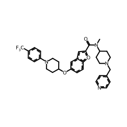 CN(C(=O)c1cc2cc(OC3CCN(c4ccc(C(F)(F)F)cc4)CC3)ccc2o1)C1CCN(Cc2ccncc2)CC1